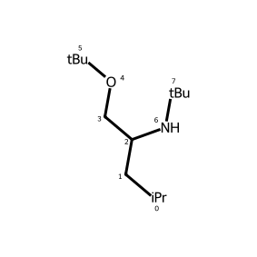 CC(C)CC(COC(C)(C)C)NC(C)(C)C